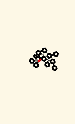 c1ccc(-c2cccc([Si](c3ccccc3)(c3cccc(-c4ccccc4)c3)c3ccc4c(c3)-n3c5ccccc5c5cccc(c53)C43c4ccccc4[Si](c4ccccc4)(c4ccccc4)c4ccccc43)c2)cc1